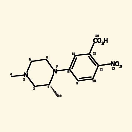 C[C@@H]1CN(C)CCN1c1ccc([N+](=O)[O-])c(C(=O)O)c1